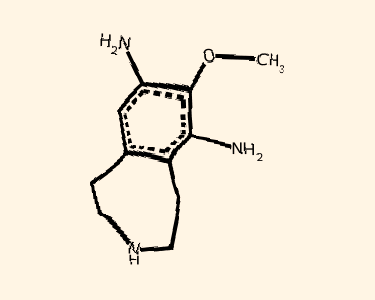 COc1c(N)cc2c(c1N)CCNCC2